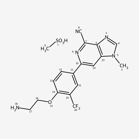 CS(=O)(=O)O.Cn1cnc2c(C#N)nc(-c3ccc(OCCN)c(C(F)(F)F)c3)cc21